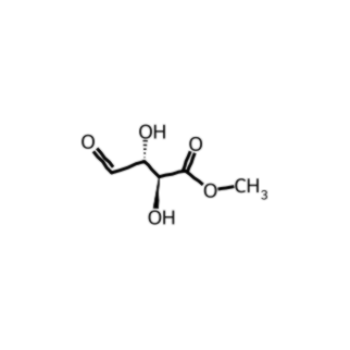 COC(=O)[C@@H](O)[C@@H](O)C=O